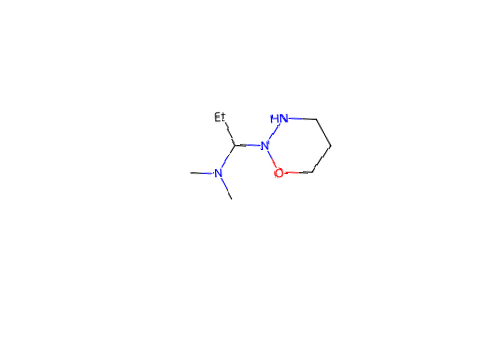 CCC(N(C)C)N1NCCCO1